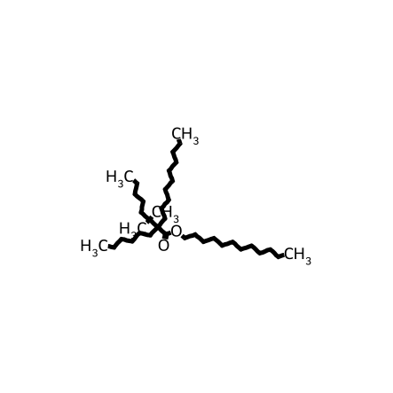 CCCCCCCCCCCCOC(=O)C(CCCCCC)(CCCCCCCCCC)C(C)(C)CCCCC